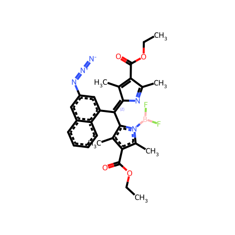 CCOC(=O)C1=C(C)/C(=C(\c2cc(N=[N+]=[N-])cc3ccccc23)c2c(C)c(C(=O)OCC)c(C)n2B(F)F)N=C1C